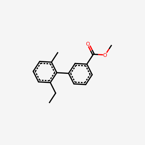 CCc1cccc(C)c1-c1cccc(C(=O)OC)c1